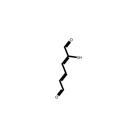 O=C/C=C/C=C(\S)C=O